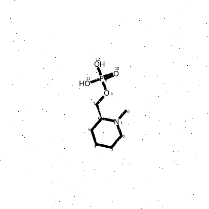 CN1CCCC[C@H]1COP(=O)(O)O